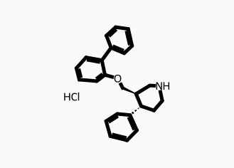 Cl.c1ccc(-c2ccccc2OC[C@H]2CNCC[C@@H]2c2ccccc2)cc1